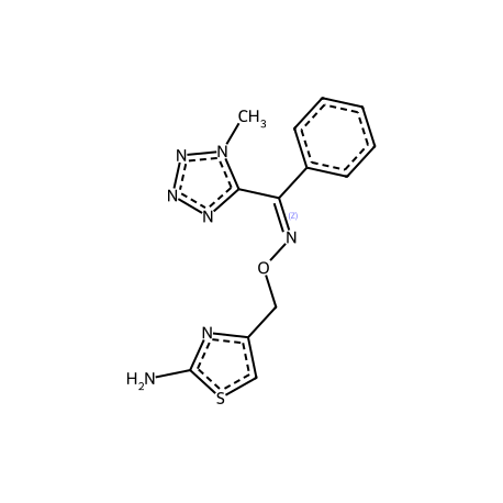 Cn1nnnc1/C(=N\OCc1csc(N)n1)c1ccccc1